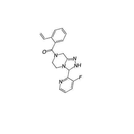 C=Cc1ccccc1C(=O)N1CCN2C(=NNC2c2ncccc2F)C1